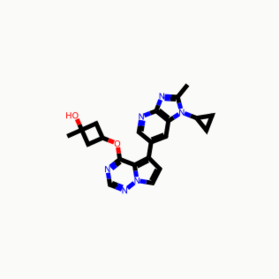 Cc1nc2ncc(-c3ccn4ncnc(OC5CC(C)(O)C5)c34)cc2n1C1CC1